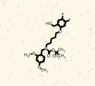 COc1ccc(CN(CCCCCOc2cc(F)c(F)cc2CO)C(=O)OC(C)(C)C)c(OC)c1